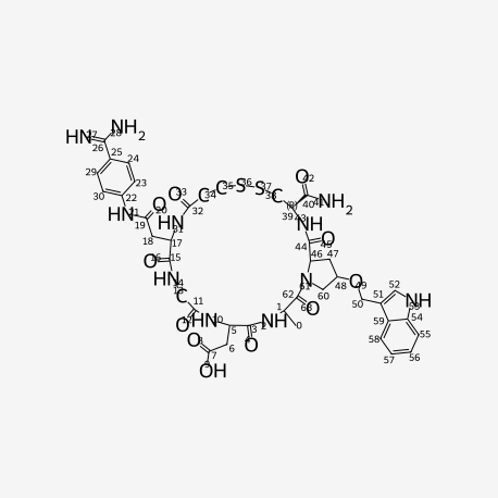 CC1NC(=O)C(CC(=O)O)NC(=O)CNC(=O)C(CC(=O)Nc2ccc(C(=N)N)cc2)NC(=O)CCSSC[C@@H](C(N)=O)NC(=O)C2CC(OCc3c[nH]c4ccccc34)CN2C1=O